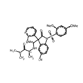 COc1ccc(S(=O)(=O)N2C(=O)C(CN[C@@H](C)C(=O)N(C)C)(c3cccnc3OC)c3cc(C#N)ccc32)c(OC)c1